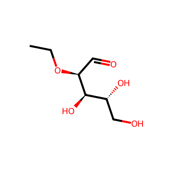 CCO[C@@H](C=O)[C@H](O)[C@H](O)CO